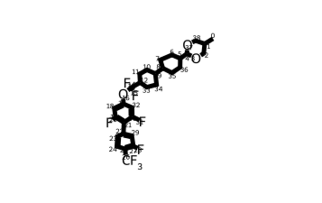 CC1COC(C2CCC(C3CCC(C(F)(F)Oc4cc(F)c(-c5ccc(C(F)(F)F)c(F)c5)c(F)c4)CC3)CC2)OC1